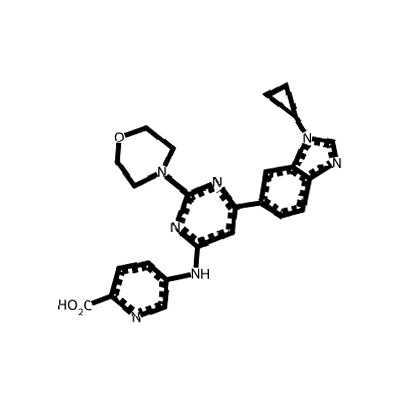 O=C(O)c1ccc(Nc2cc(-c3ccc4ncn(C5CC5)c4c3)nc(N3CCOCC3)n2)cn1